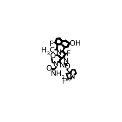 CCc1c(F)ccc2cc(O)cc(-c3nc4c5c(nc(OC[C@@]67CCCN6C[C@H](F)C7)nc5c3F)N(CC(N)=O)CCO4)c12